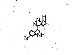 Cc1[nH]c2ncnc(C3CNc4cc(Br)ccc43)c2c1C